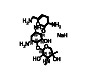 CN[C@@H]1[C@@H](O)[C@@H](O[C@@H]2[C@@H](O)[C@H](OC3OC(CN)=CCC3N)[C@@H](N)C[C@H]2N)OC[C@]1(C)O.[NaH]